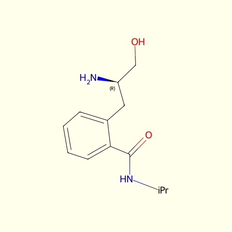 CC(C)NC(=O)c1ccccc1C[C@@H](N)CO